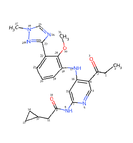 CCC(=O)c1cnc(NC(=O)CC2CC2)cc1Nc1cccc(-c2ncn(C)n2)c1OC